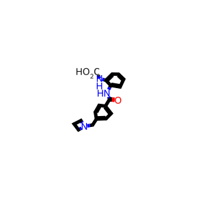 O=C(O)Nc1ccccc1NC(=O)c1ccc(CN2CCC2)cc1